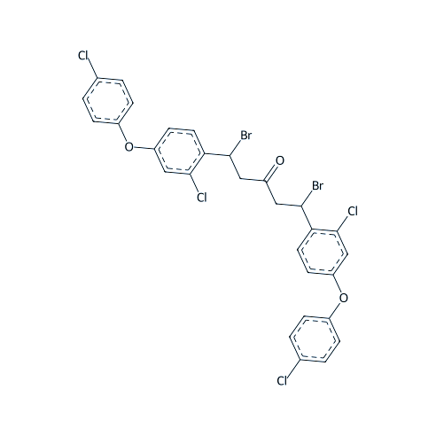 O=C(CC(Br)c1ccc(Oc2ccc(Cl)cc2)cc1Cl)CC(Br)c1ccc(Oc2ccc(Cl)cc2)cc1Cl